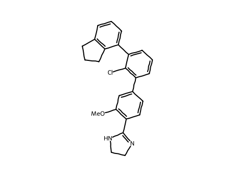 COc1cc(-c2cccc(-c3cccc4c3CCC4)c2Cl)ccc1C1=NCCN1